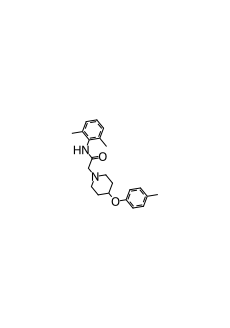 Cc1ccc(OC2CCN(CC(=O)Nc3c(C)cccc3C)CC2)cc1